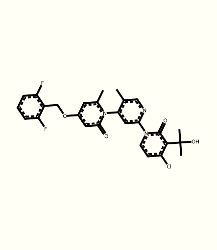 Cc1cnc(-n2ccc(Cl)c(C(C)(C)O)c2=O)cc1-n1c(C)cc(OCc2c(F)cccc2F)cc1=O